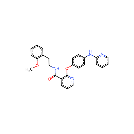 COc1ccccc1CCNC(=O)c1cccnc1Oc1ccc(Nc2ccccn2)cc1